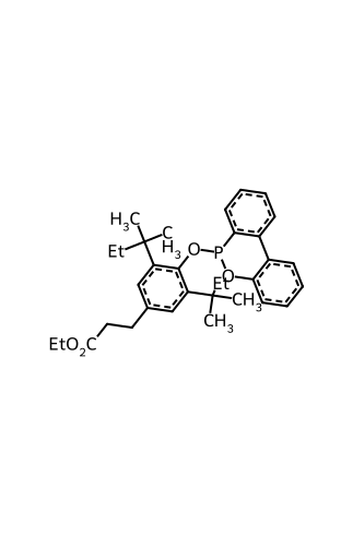 CCOC(=O)CCc1cc(C(C)(C)CC)c(OP2Oc3ccccc3-c3ccccc32)c(C(C)(C)CC)c1